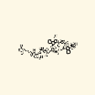 C[C@H](COC(=O)N(C)CCN(C)C(=O)Oc1cc2c(c3ccccc13)[C@H](CCl)CN2C(=O)C12CC3(C(=O)N4C[C@@H](CCl)c5c4cc(OP(=O)(O)O)c4ccccc54)CC13C2)SSC[C@H](NC(=O)CCCCCN1C(=O)C=CC1=O)C(=O)O